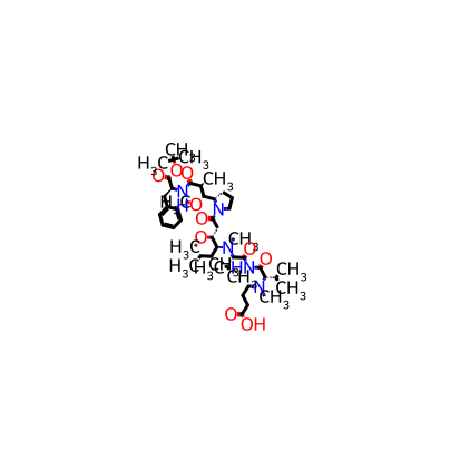 CC[C@H](C)[C@@H]([C@@H](CC(=O)N1CCC[C@H]1[C@H](OC)[C@@H](C)C(=O)N[C@@H](Cc1ccccc1)C(=O)OC(C)(C)C)OC)N(C)[C@H](C(=O)NC(=O)[C@H](C(C)C)N(C)CCCC(=O)O)C(C)C